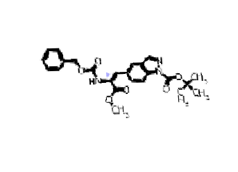 COC(=O)/C(=C\c1ccc2c(cnn2C(=O)OC(C)(C)C)c1)NC(=O)OCc1ccccc1